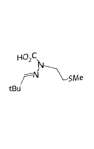 CSCCN(N=CC(C)(C)C)C(=O)O